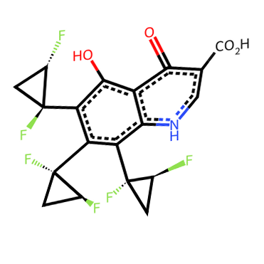 O=C(O)c1c[nH]c2c([C@]3(F)C[C@@H]3F)c([C@]3(F)C[C@@H]3F)c([C@]3(F)C[C@@H]3F)c(O)c2c1=O